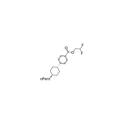 CCCCC[C@H]1CC[C@H](c2ccc(C(=O)OCC(F)F)cc2)CC1